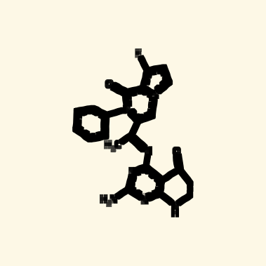 C/C(=N\c1nc(N)nc2c1C(=O)CCN2)c1cn2ccc(F)c2c(=O)n1-c1ccccc1